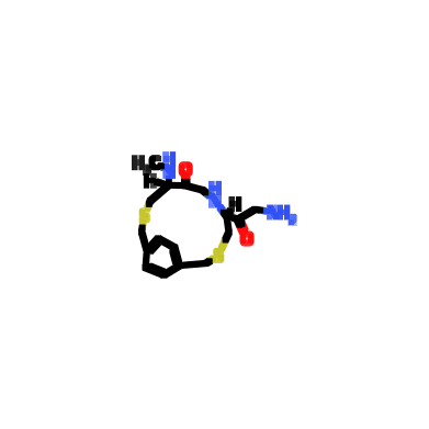 CN[C@H]1CSCc2ccc(cc2)CSC[C@@H](C(=O)CN)NCC1=O